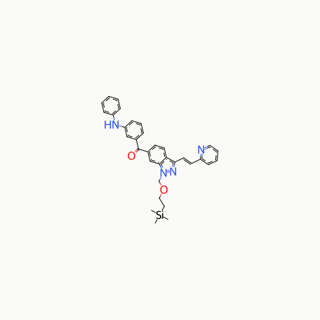 C[Si](C)(C)CCOCn1nc(C=Cc2ccccn2)c2ccc(C(=O)c3cccc(Nc4ccccc4)c3)cc21